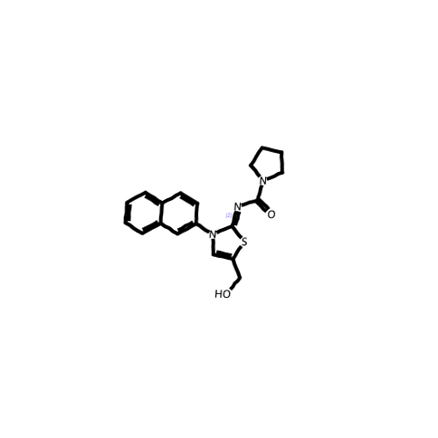 O=C(/N=c1\sc(CO)cn1-c1ccc2ccccc2c1)N1CCCC1